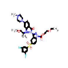 CCOCCOC(=O)n1nc(NC(=O)c2ccc(N3CCN(C)CC3)cc2N[C@H](C)COC)c2cc(S(=O)(=O)c3cc(F)cc(F)c3)ccc21